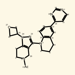 CC(=O)N1CCc2c(c(N3CCCc4cc(-c5ccncn5)ccc43)nn2C2COC2)C1